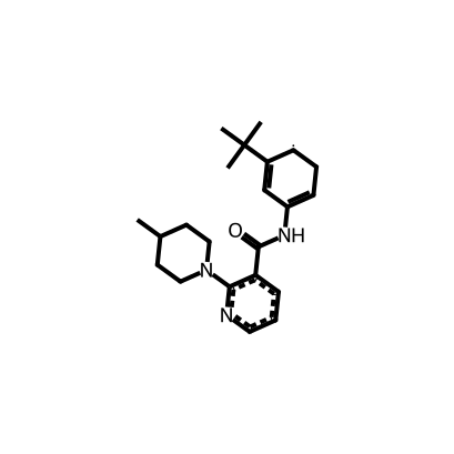 CC1CCN(c2ncccc2C(=O)NC2=CC[CH]C(C(C)(C)C)=C2)CC1